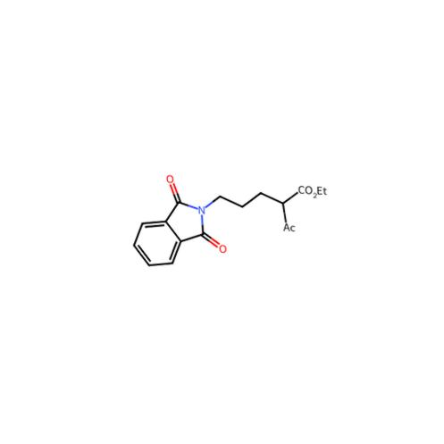 CCOC(=O)C(CCCN1C(=O)c2ccccc2C1=O)C(C)=O